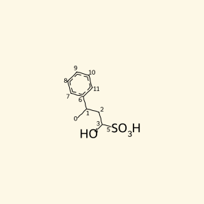 CC(CC(O)S(=O)(=O)O)c1ccccc1